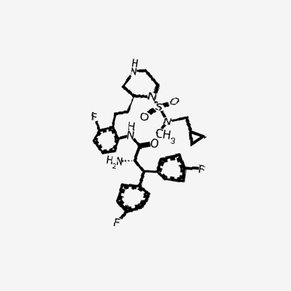 CN(CC1CC1)S(=O)(=O)N1CCNC[C@@H]1CCc1c(F)cccc1NC(=O)[C@@H](N)C(c1ccc(F)cc1)c1ccc(F)cc1